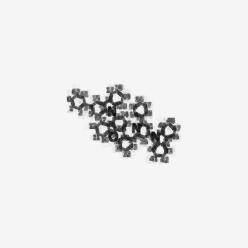 c1ccc(-c2cc(-c3ccccc3)c3c(c2)c2ccccc2n3-c2ccc3c(c2)oc2cccc(-c4cc(-n5c6ccccc6c6ccccc65)cc(-c5ccccc5)n4)c23)cc1